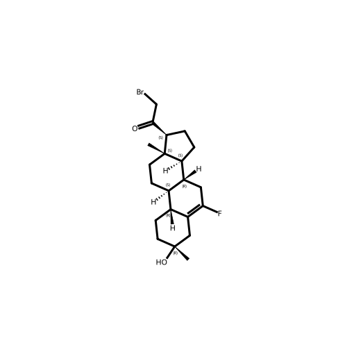 C[C@@]1(O)CC[C@H]2C(=C(F)C[C@@H]3[C@@H]2CC[C@]2(C)[C@@H](C(=O)CBr)CC[C@@H]32)C1